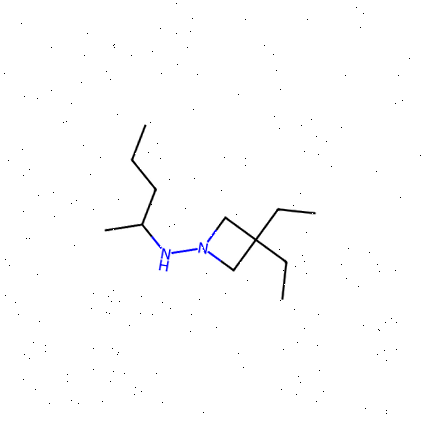 CCCC(C)NN1CC(CC)(CC)C1